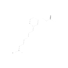 CCCC(CC)CCCOCCN1CCO[C@H](CNC(=O)C(C)C)C1